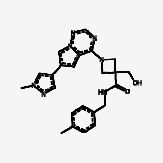 Cc1ccc(CNC(=O)C2(CO)CN(c3ncnn4cc(-c5cnn(C)c5)cc34)C2)cc1